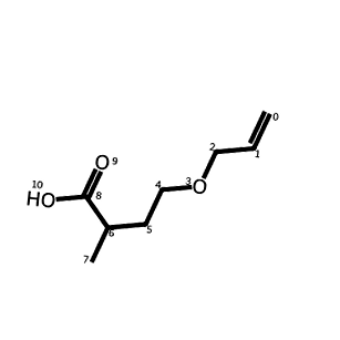 C=CCOCCC(C)C(=O)O